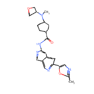 Cc1ncc(-c2cc3cc(NC(=O)C4CCC(N(C)C5COC5)CC4)ncc3cn2)o1